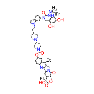 C=NNC(=O)N(Cc1cc(C(C)C)c(O)cc1O)c1ccc2ccn(CCC3CCN(C4CCN(C(=O)Oc5ccc6nc7c(c(CC)c6c5)Cn5c-7cc6c(c5=O)COC(=O)C6(O)CC)CC4)CC3)c2c1